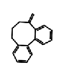 C=C1CCCc2ccccc2-c2ccccc21